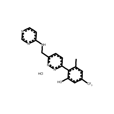 Cc1cc(C(F)(F)F)cc(O)c1-c1ccc(CNc2ccncn2)nn1.Cl